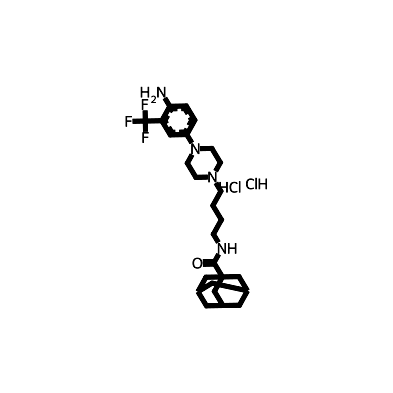 Cl.Cl.Nc1ccc(N2CCN(CCCCNC(=O)C34CC5CC(CC(C5)C3)C4)CC2)cc1C(F)(F)F